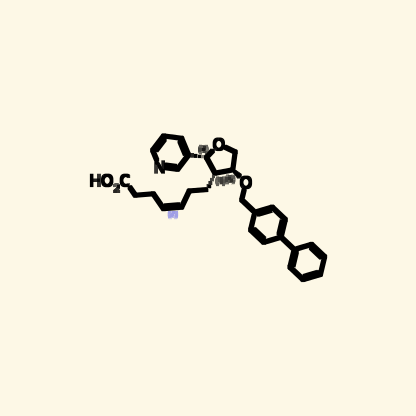 O=C(O)CC/C=C\CC[C@H]1[C@H](OCc2ccc(-c3ccccc3)cc2)CO[C@H]1c1cccnc1